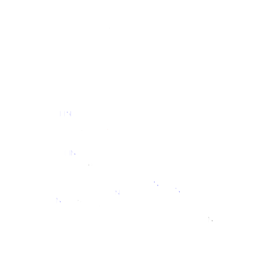 CC(C)c1ccc(NC(=O)N[C@@H]2CN(c3ccc(C#N)nn3)C[C@@H]2N(C)C)cc1